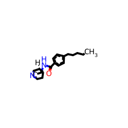 CCCCCc1ccc(C(=O)N[C@@H]2CN3CCC2CC3)cc1